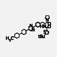 CC1CCC(C2CC=C(c3cnc(-c4ccc(CC(NC(=O)c5ccc(C(C)(C)C)s5)C(=O)N5CCCC5)cc4)nc3)CC2)CC1